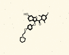 Cc1cc(F)cc(C)c1C(=O)c1sc2cc(O)ccc2c1Oc1ccc(OCCN2CCCCC2)cc1